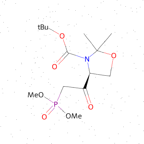 COP(=O)(CC(=O)[C@@H]1COC(C)(C)N1C(=O)OC(C)(C)C)OC